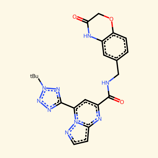 CC(C)(C)n1nnc(-c2cc(C(=O)NCc3ccc4c(c3)NC(=O)CO4)nc3ccnn23)n1